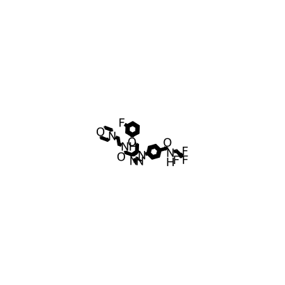 O=C(NCC(F)(F)F)c1ccc(-n2nnc(C(=O)NCCN3CCOCC3)c2COc2cccc(F)c2)cc1